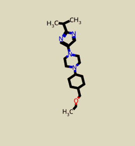 CCOCC1CCC(N2CCN(c3cnc(C(C)C)nc3)CC2)CC1